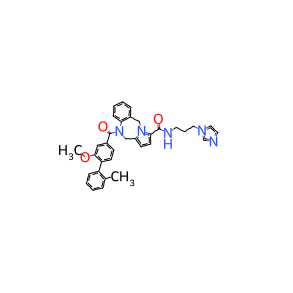 COc1cc(C(=O)N2Cc3ccc(C(=O)NCCCn4ccnc4)n3Cc3ccccc32)ccc1-c1ccccc1C